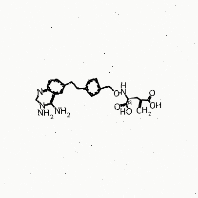 C=C(C[C@H](NOCc1ccc(CCc2ccc3c(c2)=C(N)N(N)CN=3)cc1)C(=O)O)C(=O)O